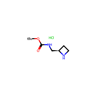 CC(C)(C)OC(=O)NC[C@H]1CCN1.Cl